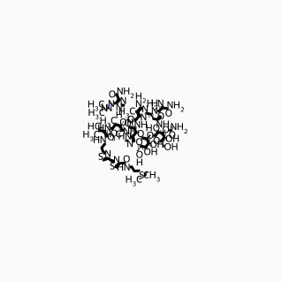 CN(C)/N=N/c1[nH]cnc1C(N)=O.Cc1c(N)nc([C@H](CC(N)=O)NC[C@H](N)C(N)=O)nc1C(=O)N[C@H](C(=O)N[C@H](C)[C@@H](O)[C@H](C)C(=O)N[C@H](C(=O)NCCc1nc(-c2nc(C(=O)NCCC[S+](C)C)cs2)cs1)[C@@H](C)O)[C@@H](O[C@@H]1O[C@@H](CO)[C@H](O)[C@@H](O)[C@@H]1O[C@@H]1O[C@@H](CO)[C@H](O)[C@@H](OC(N)=O)[C@@H]1O)c1cnc[nH]1